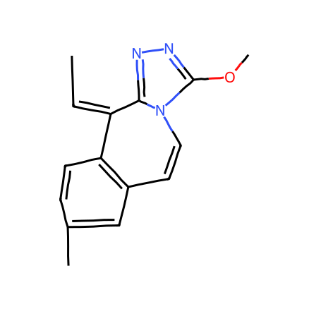 CC=C1c2ccc(C)cc2C=Cn2c(OC)nnc21